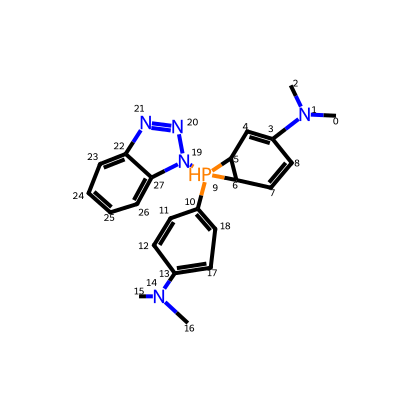 CN(C)C1=CC2C(C=C1)[PH]2(c1ccc(N(C)C)cc1)n1nnc2ccccc21